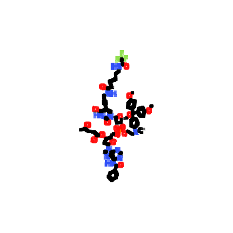 [C-]#[N+]CCOP(=O)(OC[C@H]1O[C@@H](n2cnc3c(NC(=O)c4ccccc4)ncnc32)C[C@H]1OC(=O)CCC(C)=O)O[C@@H]1C[C@H](n2cc(C#CCNC(=O)CCCCCNC(=O)C(F)(F)F)c(=O)[nH]c2=O)O[C@@H]1COC(c1ccccc1)(c1ccc(OC)cc1)c1ccc(OC)cc1